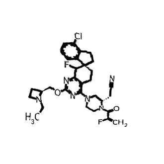 C=C(F)C(=O)N1CCN(c2nc(OC[C@@H]3CCN3CC)nc3c2CC[C@@]2(CCc4c(Cl)cccc42)C3F)C[C@@H]1CC#N